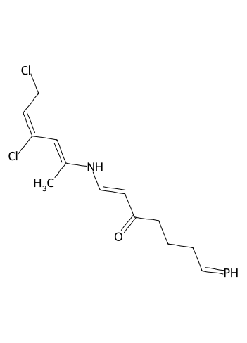 C/C(=C\C(Cl)=C/CCl)N/C=C/C(=O)CCCC=P